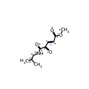 COC(=O)/C=C/C(=O)C(=O)NCC(C)C